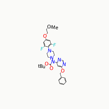 COCCOc1cc(F)c(N2CCN(N(C(=O)OC(C)(C)C)c3cc(OCc4ccccc4)ncn3)CC2)c(F)c1